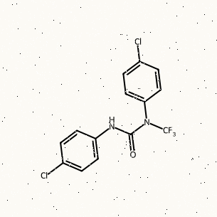 O=C(Nc1ccc(Cl)cc1)N(c1ccc(Cl)cc1)C(F)(F)F